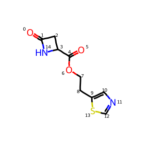 O=C1CC(C(=O)OCCc2cncs2)N1